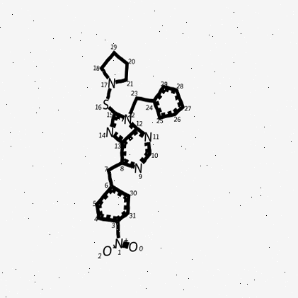 O=[N+]([O-])c1ccc(Cc2ncnc3c2nc(SN2CCCC2)n3Cc2ccccc2)cc1